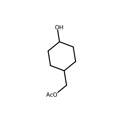 CC(=O)OCC1CCC(O)CC1